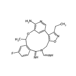 CCc1noc2c1-c1cnc(N)c(c1)OC(C)c1cc(F)ccc1C(=N)N(C=N)C2